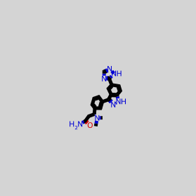 CN(C)C(CC(N)=O)c1cccc(-c2n[nH]c3ccc(-c4ncn[nH]4)cc23)c1